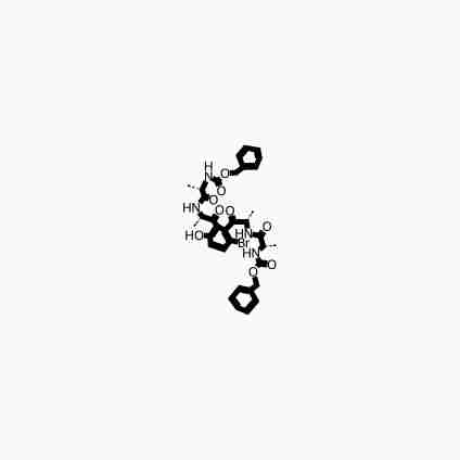 C[C@H](NC(=O)OCc1ccccc1)C(=O)N[C@@H](C)C(=O)c1c(O)ccc(Br)c1C(=O)[C@H](C)NC(=O)[C@H](C)NC(=O)OCc1ccccc1